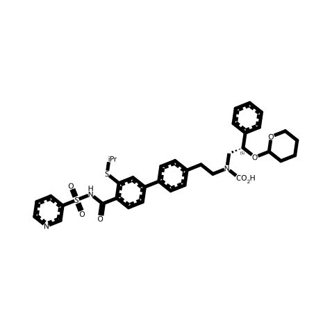 CC(C)Sc1cc(-c2ccc(CCN(C[C@@H](OC3CCCCO3)c3ccccc3)C(=O)O)cc2)ccc1C(=O)NS(=O)(=O)c1cccnc1